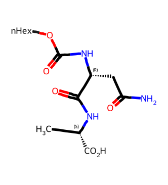 CCCCCCOC(=O)N[C@H](CC(N)=O)C(=O)N[C@@H](C)C(=O)O